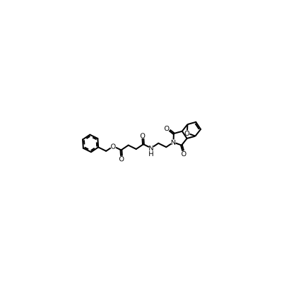 O=C(CCC(=O)OCc1ccccc1)NCCN1C(=O)C2C3C=CC(O3)C2C1=O